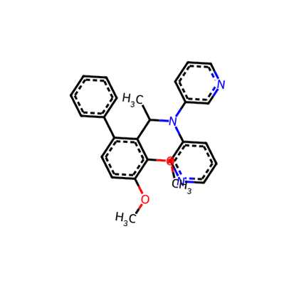 COc1ccc(-c2ccccc2)c(C(C)N(c2cccnc2)c2cccnc2)c1OC